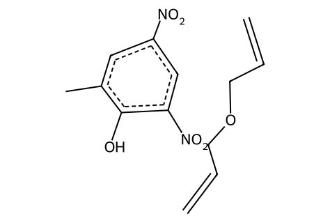 C=CCOCC=C.Cc1cc([N+](=O)[O-])cc([N+](=O)[O-])c1O